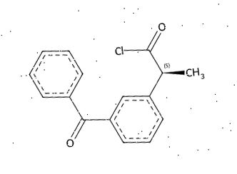 C[C@H](C(=O)Cl)c1cccc(C(=O)c2ccccc2)c1